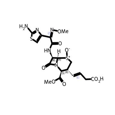 CO/N=C(\C(=O)N[C@@H]1C(=O)N2[C@H](C(=O)OC)[C@@H](/C=C/CC(=O)O)C[S+]([O-])[C@H]12)c1csc(N)n1